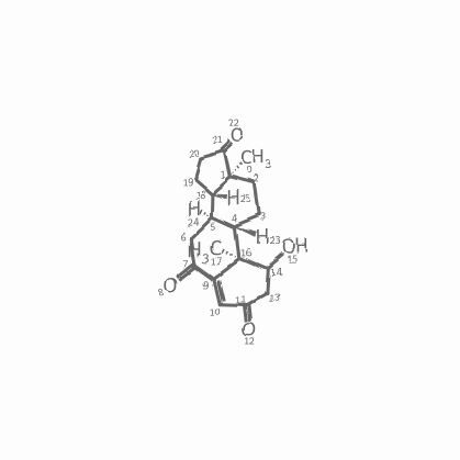 C[C@]12CC[C@H]3[C@@H](CC(=O)C4=CC(=O)CC(O)[C@@]43C)[C@@H]1CCC2=O